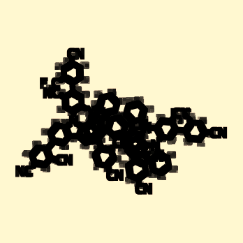 N#Cc1ccc(-c2ccc3c(c2)c2ccccc2n3-c2cc(-c3ccc(C#N)cc3C(F)(F)F)c(C#N)cc2-n2c3ccc(-c4ccc(C#N)cc4C#N)cc3c3ccc(-c4cc(-c5ccc6c7ccccc7n(-c7cc(-c8ccc(C#N)cc8C(F)(F)F)c(C#N)cc7-n7c8ccccc8c8ccc(-c9ccc(C#N)cc9C#N)cc87)c6c5)c(C#N)cc4C#N)cc32)c(C#N)c1